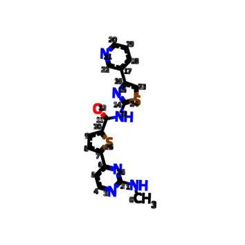 CNc1nccc(-c2ccc(C(=O)Nc3nc(-c4cccnc4)cs3)s2)n1